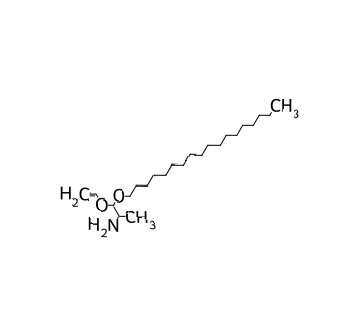 C=COC(OCCCCCCCCCCCCCCCCCC)C(C)N